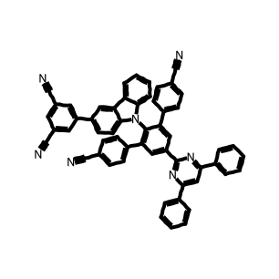 N#Cc1ccc(-c2cc(-c3nc(-c4ccccc4)cc(-c4ccccc4)n3)cc(-c3ccc(C#N)cc3)c2-n2c3ccccc3c3cc(-c4cc(C#N)cc(C#N)c4)ccc32)cc1